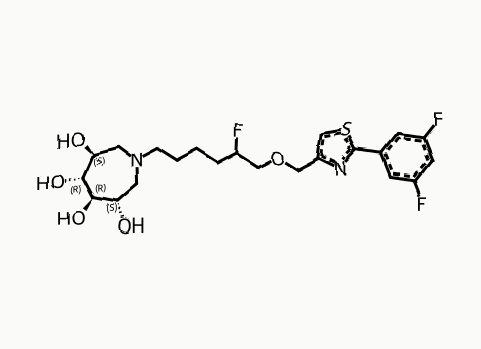 O[C@H]1[C@H](O)[C@@H](O)CN(CCCCC(F)COCc2csc(-c3cc(F)cc(F)c3)n2)C[C@@H]1O